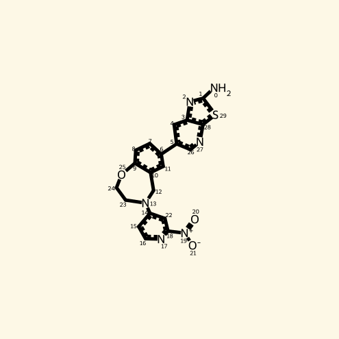 Nc1nc2cc(-c3ccc4c(c3)CN(c3ccnc([N+](=O)[O-])c3)CCO4)cnc2s1